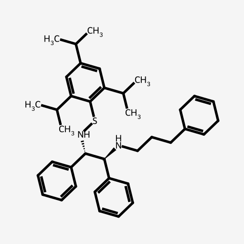 CC(C)c1cc(C(C)C)c(SN[C@@H](c2ccccc2)[C@@H](NCCCC2=CCC=CC2)c2ccccc2)c(C(C)C)c1